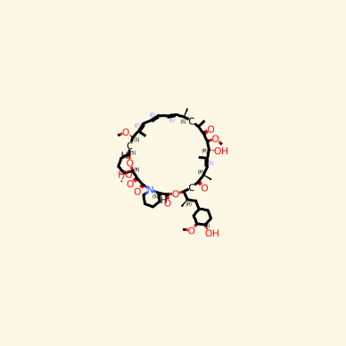 COC1CC(C[C@@H](C)C2CC(=O)[C@H](C)/C=C(\C)[C@@H](O)C(OC)C(=O)C(C)C[C@H](C)/C=C/C=C/C=C(\C)[C@@H](OC)C[C@@H]3CC[C@@H](C)[C@@](O)(O3)C(=O)C(=O)N3CCCC[C@H]3C(=O)O2)CC[C@H]1O